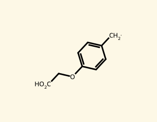 [CH2]c1ccc(OCC(=O)O)cc1